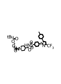 Cc1ccc(-c2cc(C(F)(F)F)nn2-c2ccc(S(=O)(=O)NC(=O)C3CCN(n4on4OCOC(=O)C(C)(C)C)CC3)cc2)cc1